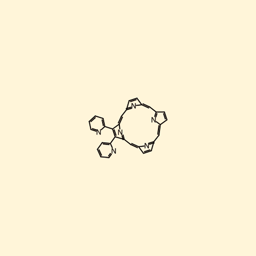 C1=CC2=NC1=CC1=NC(=CC3=NC(=CC4=NC(=C2)C=C4)C(c2ccccn2)=C3c2ccccn2)C=C1